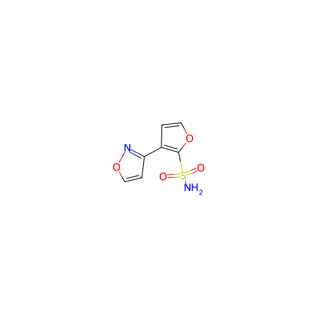 NS(=O)(=O)c1occc1-c1ccon1